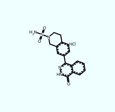 Cl.NS(=O)(=O)N1CCc2ccc(-c3n[nH]c(=O)c4ccccc34)cc2C1